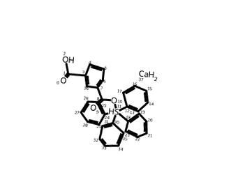 O=C(O)c1cccc(C(=O)O[SH](c2ccccc2)(c2ccccc2)(c2ccccc2)c2ccccc2)c1.[CaH2]